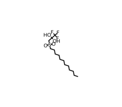 CCCCCCCCCCCCS(=O)(=O)CC(O)(O)C(F)(F)F